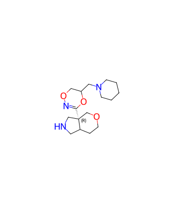 C1CCN(CC2CON=C([C@@]34CNCC3CCOC4)O2)CC1